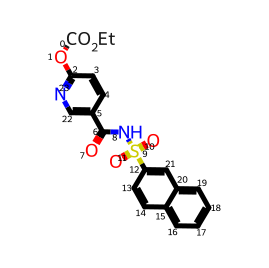 CCOC(=O)Oc1ccc(C(=O)NS(=O)(=O)c2ccc3ccccc3c2)cn1